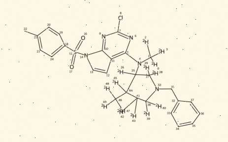 [2H]C([2H])([2H])N(c1nc(Cl)nc2c1ccn2S(=O)(=O)c1ccc(C)cc1)C1([2H])C([2H])([2H])N(Cc2ccccc2)C([2H])([2H])C([2H])([2H])C1([2H])C([2H])([2H])[2H]